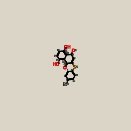 CCc1ccc(SC2=CC(=O)c3c(O)ccc(O)c3C2=O)cc1